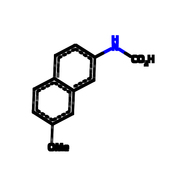 COc1ccc2ccc(NC(=O)O)cc2c1